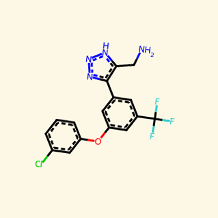 NCc1[nH]nnc1-c1cc(Oc2cccc(Cl)c2)cc(C(F)(F)F)c1